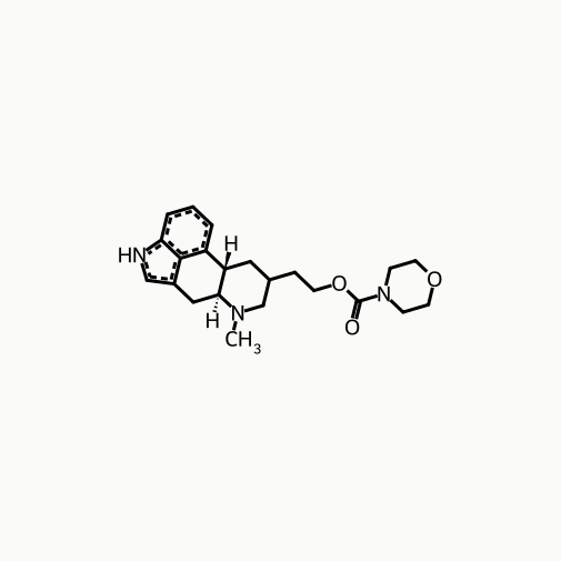 CN1CC(CCOC(=O)N2CCOCC2)C[C@H]2c3cccc4[nH]cc(c34)C[C@@H]21